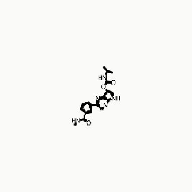 CNC(=O)c1cccc(-c2cnc3[nH]cc(OC(=O)NC(C)C)c3n2)c1